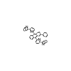 c1ccc(-c2ccc3c(-c4cccc(-c5cocn5)n4)c4ccccc4c(-c4cccc(-c5cocn5)n4)c3c2)cc1